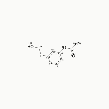 CCCC(=O)Oc1cccc(CCO)c1